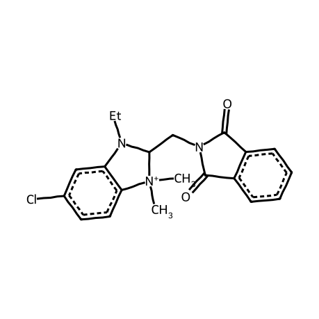 CCN1c2cc(Cl)ccc2[N+](C)(C)C1CN1C(=O)c2ccccc2C1=O